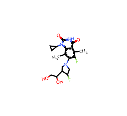 Cc1c(F)c(N2CC(F)C(C(O)CO)C2)c(C)c2c1c(=O)[nH]c(=O)n2C1CC1